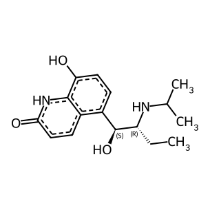 CC[C@@H](NC(C)C)[C@@H](O)c1ccc(O)c2[nH]c(=O)ccc12